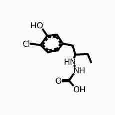 CCC(Cc1ccc(Cl)c(O)c1)NNC(=O)O